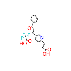 O=C(O)C(F)(F)F.O=C(O)C=Cc1ccc(C=CC(=O)c2ccccc2)cn1